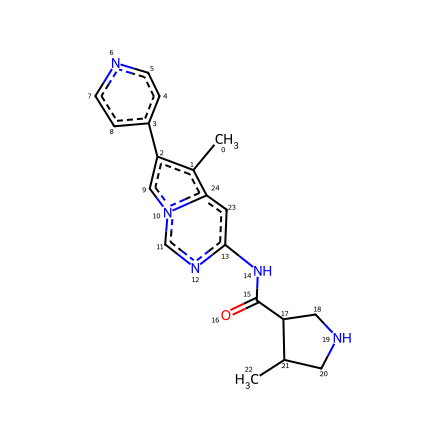 Cc1c(-c2ccncc2)cn2cnc(NC(=O)C3CNCC3C)cc12